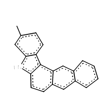 Ic1ccc2c(c1)[nH]c1ccc3cc4ccccc4cc3c12